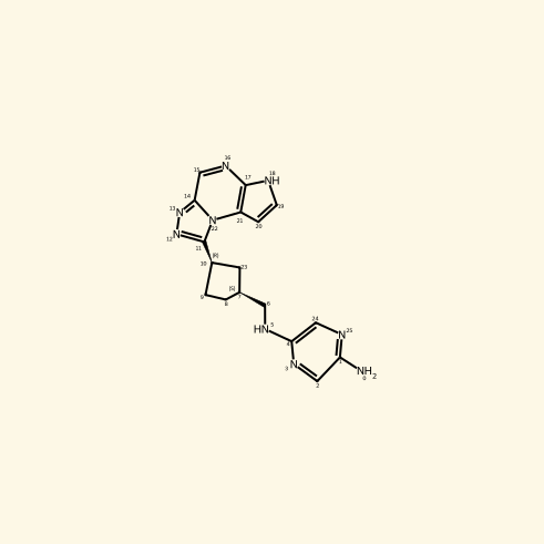 Nc1cnc(NC[C@H]2CC[C@@H](c3nnc4cnc5[nH]ccc5n34)C2)cn1